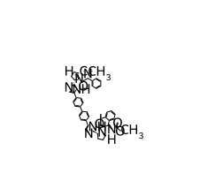 COC(=O)N[C@@H](C(=O)N1CCC[C@H]1c1ncc(-c2ccc(-c3ccc(-c4cnc([C@@H]5CCCN5C(=O)[C@@H](c5ccccc5)N(C)C)[nH]4)cc3)cc2)[nH]1)c1ccccc1I